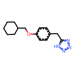 c1cc(OCC2CCCCC2)ccc1Cc1nnn[nH]1